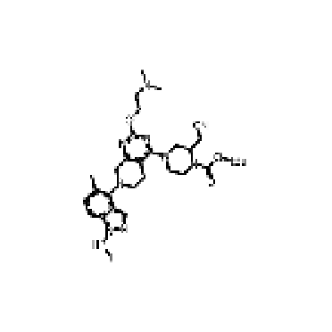 Cc1ccc2c(cnn2PI)c1N1CCc2c(nc(OCCN(C)C)nc2N2CCN(C(=O)OC(C)(C)C)C(CC#N)C2)C1